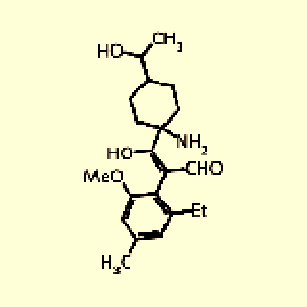 CCc1cc(C)cc(OC)c1/C(C=O)=C(\O)C1(N)CCC(C(C)O)CC1